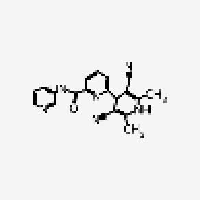 CC1=C(C#N)C(c2cccc(C(=O)Nc3cccnc3)n2)C(C#N)=C(C)N1